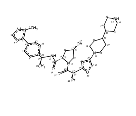 Cc1ncsc1-c1ccc([C@H](C)NC(=O)[C@@H]2C[C@@H](O)CN2C(=O)[C@@H](c2cc(N3CCC(C4CCNCC4)CC3)no2)C(C)C)cc1